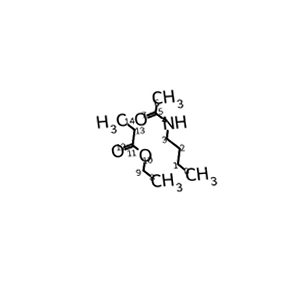 CCCCNC(C)=O.CCOC(=O)CC